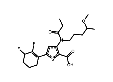 CCC(=O)N(CCCC(C)OC)c1cc(C2=C(F)C(F)CCC2)sc1C(=O)O